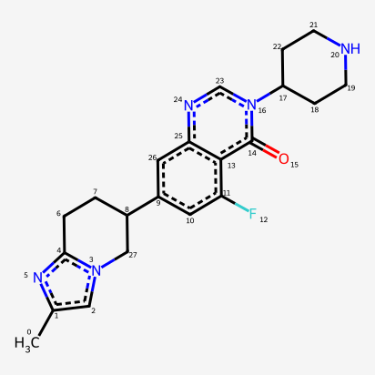 Cc1cn2c(n1)CCC(c1cc(F)c3c(=O)n(C4CCNCC4)cnc3c1)C2